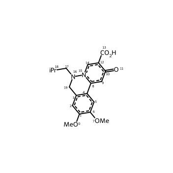 COc1cc2c(cc1OC)-c1cc(=O)c(C(=O)O)cn1N(CC(C)C)C2